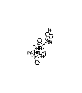 CC(C)C[C@H](NC(=O)[C@H](Cc1ccccc1)NC(=O)c1cnccn1)C(=O)NC(Sc1ccccc1)C(=O)NCCNS(=O)(=O)c1cccc2c(N(C)C)cccc12